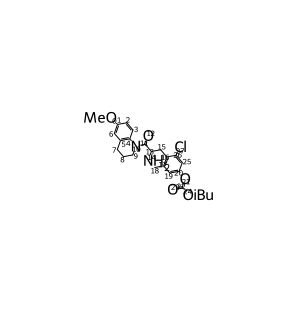 COc1ccc2c(c1)CCCN2C(=O)C(N)Cc1c(C)cc(OC(=O)OCC(C)C)cc1Cl